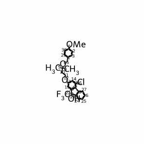 COc1ccc(COC(C)(C)CCOc2cc(Cl)c3c(c2)[C@@](O)(C(F)(F)F)c2ccccc2-3)cc1